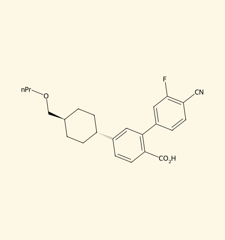 CCCOC[C@H]1CC[C@H](c2ccc(C(=O)O)c(-c3ccc(C#N)c(F)c3)c2)CC1